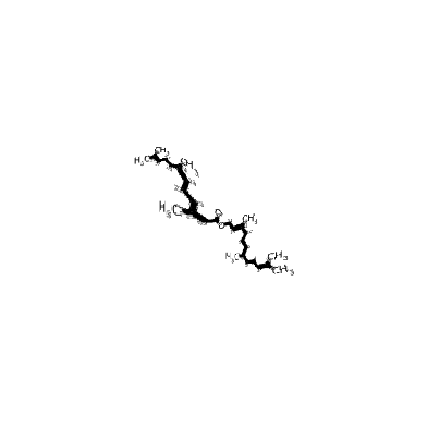 CC(C)=CCCC(C)=CCCC(C)=CCOC(=O)C=C(C)CCC=C(C)CCC=C(C)C